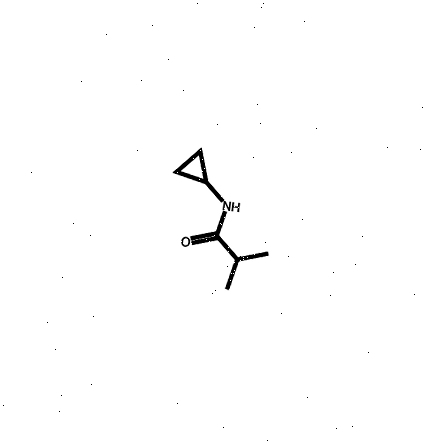 CC(C)C(=O)NC1CC1